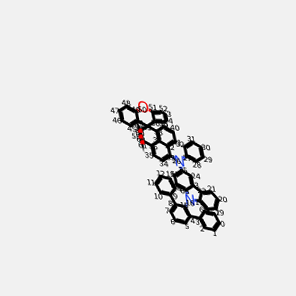 c1ccc(-c2cccc(-c3ccccc3)c2-n2c3ccccc3c3cc(N(c4ccccc4)c4ccc5c6c(cccc46)C4(c6ccccc6Oc6ccccc64)c4ccccc4-5)ccc32)cc1